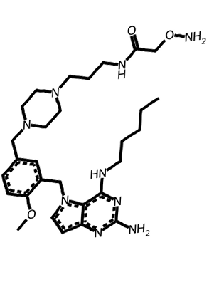 CCCCCNc1nc(N)nc2ccn(Cc3cc(CN4CCN(CCCNC(=O)CON)CC4)ccc3OC)c12